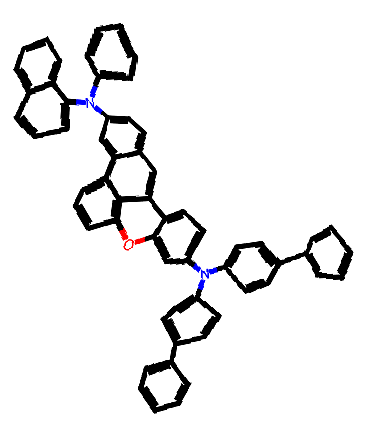 c1ccc(-c2ccc(N(c3ccc(-c4ccccc4)cc3)c3ccc4c(c3)Oc3cccc5c3c-4cc3ccc(N(c4ccccc4)c4cccc6ccccc46)cc35)cc2)cc1